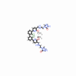 COc1nc(-c2cccc(-c3cccc(-c4ccc(CNCCn5cn[nH]c5=O)c(OC)n4)c3Cl)c2Cl)ccc1CNCCn1cn[nH]c1=O